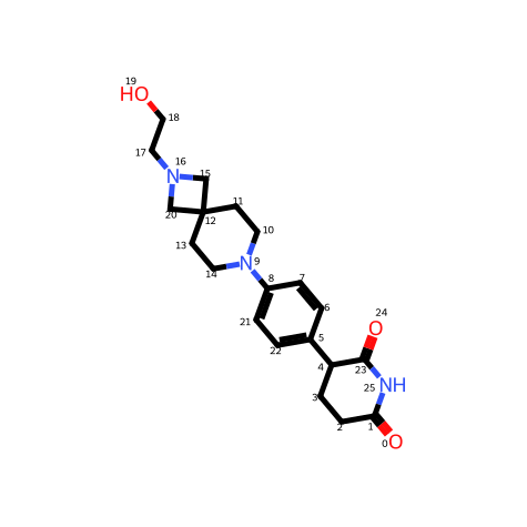 O=C1CCC(c2ccc(N3CCC4(CC3)CN(CCO)C4)cc2)C(=O)N1